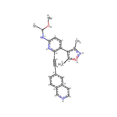 CCC(Nc1ccc(-c2c(C)noc2C)c(C#Cc2ccc3cnccc3c2)n1)OC(C)(C)C